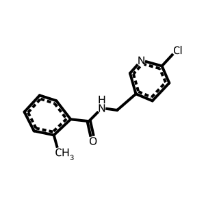 Cc1ccccc1C(=O)NCc1ccc(Cl)nc1